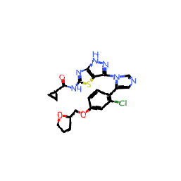 O=C(Nc1nc2[nH]nc(-n3cncc3-c3ccc(OCC4CCCO4)cc3Cl)c2s1)C1CC1